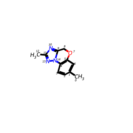 Cc1ccc2c(c1)OCc1nc(C)nn1-2